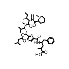 CC[C@H](C)[C@H](NC(=O)C1CCCCN1C)C(=O)N(C)[C@H](C[C@@H](OC(=O)CC(C)C)c1nc(C(=O)NC(Cc2ccccc2)CC(C)C(=O)O)cs1)C(C)C